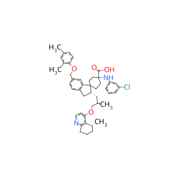 Cc1ccc(OCc2ccc3c(c2)C2(CCC(Nc4cccc(Cl)c4)(C(=O)O)CC2)[C@H](C[C@@H](C)COc2ccnc4c2[C@H](C)CCC4)C3)c(C)c1